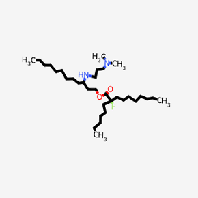 CCCCCCCCCC(CCOC(=O)C(F)(CCCCCC)CCCCCCCC)NCCCN(C)C